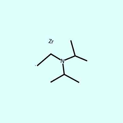 [CH2]CN(C(C)C)C(C)C.[Zr]